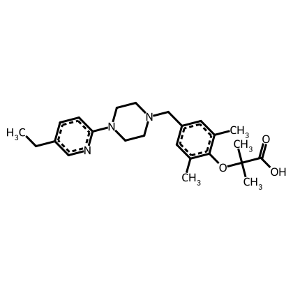 CCc1ccc(N2CCN(Cc3cc(C)c(OC(C)(C)C(=O)O)c(C)c3)CC2)nc1